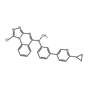 CN(c1cccc(-c2ccc(C3CC3)nc2)c1)c1nc2nnc(Cl)n2c2ccccc12